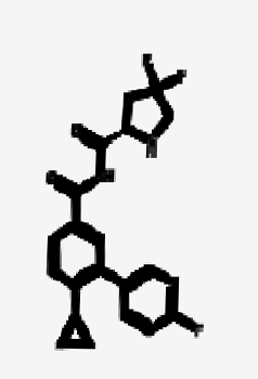 O=C(NC(=O)[C@@H]1CC(F)(F)CN1)c1ccc(C2CC2)c(-c2ccc(F)nc2)c1